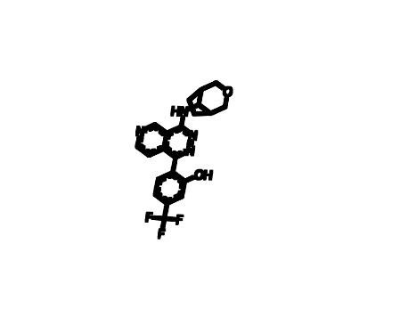 Oc1cc(C(F)(F)F)ccc1-c1nnc(NC2C3CCC2COC3)c2cnccc12